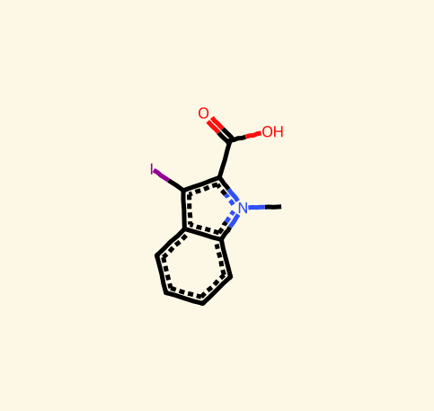 Cn1c(C(=O)O)c(I)c2ccccc21